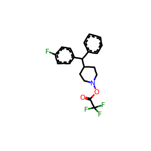 O=C(ON1CCC(C(c2ccccc2)c2ccc(F)cc2)CC1)C(F)(F)F